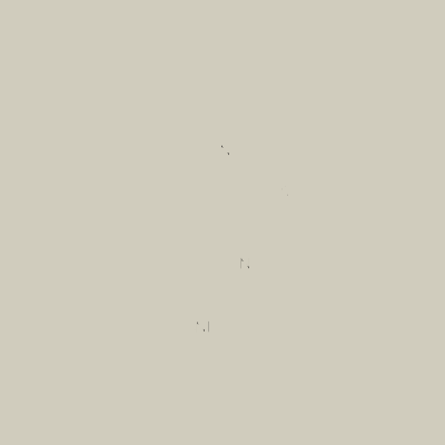 c1ccc(-c2nc3ccc(NC4CCCCC4)nc3s2)cc1